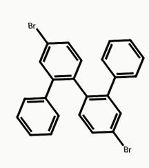 Brc1ccc(-c2ccc(Br)cc2-c2ccccc2)c(-c2ccccc2)c1